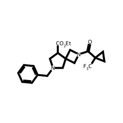 CCOC(=O)C1CN(Cc2ccccc2)CC12CN(C(=O)C1(C(F)(F)F)CC1)C2